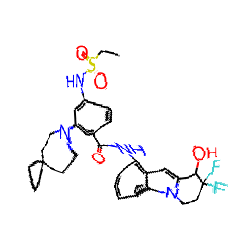 CCS(=O)(=O)Nc1ccc(C(=O)Nc2cccc3c2cc2n3CCC(F)(F)C2O)c(N2CCC3(CC2)CC3)c1